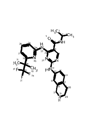 CC(C)NC(=O)c1cnc(Nc2ccc3c(c2)CNCC3)nc1Nc1cccc(C(C)(C)C(F)(F)F)n1